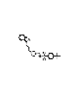 CC(C)(C)c1ccc(S(=O)(=O)NCC2CCN(CCCc3noc4cc(F)ccc34)C2)cc1